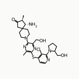 Cc1nc(N2CCC3(CC2)CC(=O)[C@@H](C)[C@@H]3N)c(CO)nc1Sc1ccnc(N2CCCC2CO)c1Cl